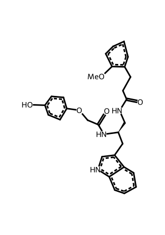 COc1ccccc1CCC(=O)NC[C@@H](Cc1c[nH]c2ccccc12)NC(=O)COc1ccc(O)cc1